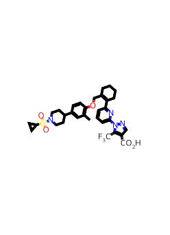 Cc1cc(C2CCN(S(=O)(=O)C3CC3)CC2)ccc1OCC1=C(c2cccc(-n3ncc(C(=O)O)c3C(F)(F)F)n2)CCCC1